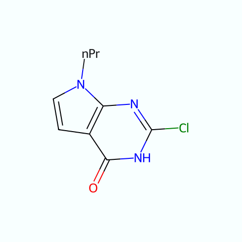 CCCn1ccc2c(=O)[nH]c(Cl)nc21